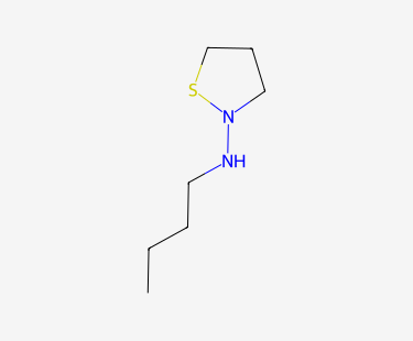 CCCCNN1CCCS1